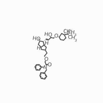 CC(C)[C@@]1(C)CCC[C@H](OCC(O)C=C[C@@H]2[C@@H]3CC(CCOCC(=O)N(Cc4ccccc4)c4ccccc4)C[C@@H]3C[C@H]2O)C1